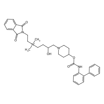 C[N+](C)(CCC(O)CN1CCC(OC(=O)Nc2ccccc2-c2ccccc2)CC1)CCN1C(=O)c2ccccc2C1=O